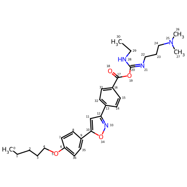 CCCCCOc1ccc(-c2cc(-c3ccc(C(=O)O/C(=N/CCCN(C)C)NCC)cc3)no2)cc1